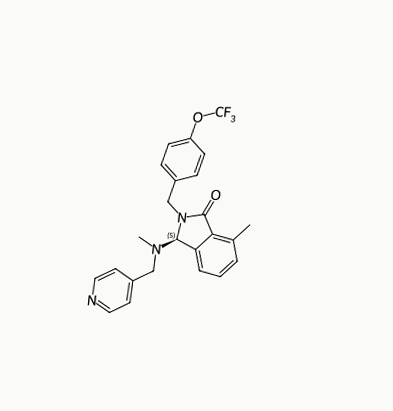 Cc1cccc2c1C(=O)N(Cc1ccc(OC(F)(F)F)cc1)[C@@H]2N(C)Cc1ccncc1